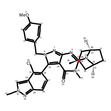 COc1ccc(Cn2nc3nc(N4[C@@H]5CC[C@H]4C[C@@H](C)C5)n(C)c(=O)c3c2-c2ccc3nn(C)cc3c2Cl)cc1